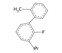 Cc1ccccc1-c1cccc(C(C)C)c1F